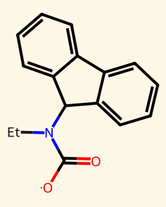 CCN(C([O])=O)C1c2ccccc2-c2ccccc21